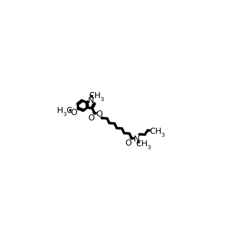 CCCCN(C)C(=O)CCCCCCCCOC(=O)c1cn(C)c2ccc(OC)cc12